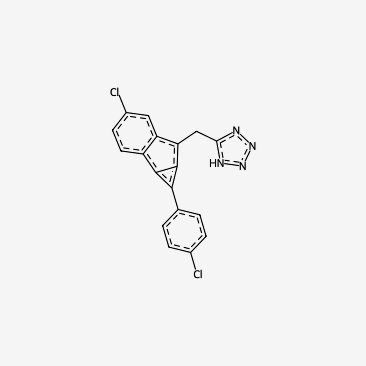 Clc1ccc(-c2c3c(Cc4nnn[nH]4)c4cc(Cl)ccc4c2-3)cc1